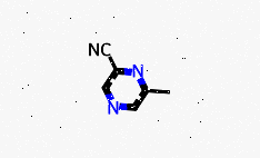 Cc1cncc(C#N)n1